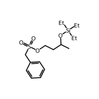 CC[Si](CC)(CC)OC(C)CCOS(=O)(=O)Cc1ccccc1